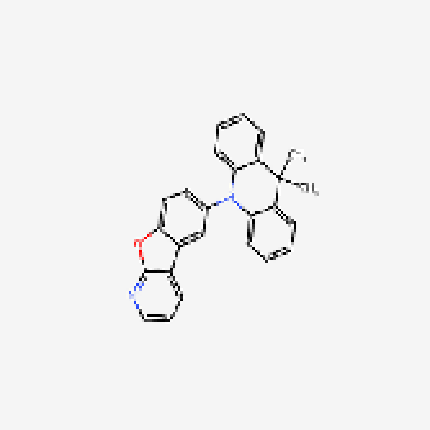 CC1(C)c2ccccc2N(c2ccc3oc4ncccc4c3c2)c2ccccc21